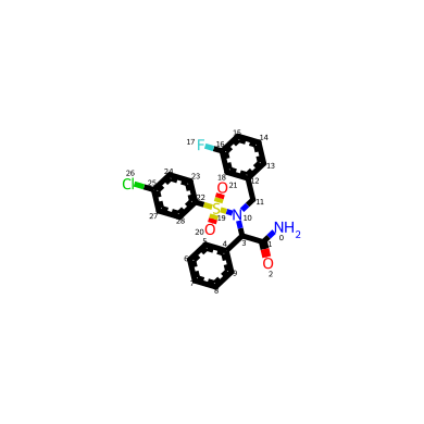 NC(=O)C(c1ccccc1)N(Cc1cccc(F)c1)S(=O)(=O)c1ccc(Cl)cc1